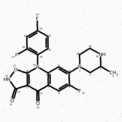 CC1CN(c2cc3c(cc2F)c(=O)c2c(=O)[nH]oc2n3-c2ccc(F)cc2F)CCN1